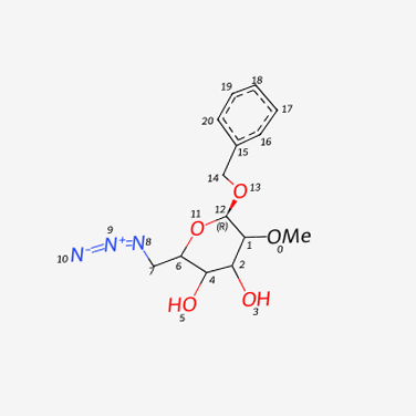 COC1C(O)C(O)C(CN=[N+]=[N-])O[C@H]1OCc1ccccc1